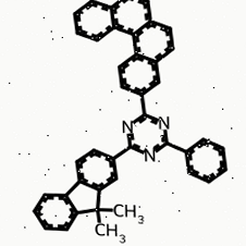 CC1(C)c2ccccc2-c2ccc(-c3nc(-c4ccccc4)nc(-c4ccc5c(ccc6ccc7ccccc7c65)c4)n3)cc21